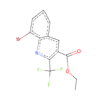 CCOC(=O)c1cc2cccc(Br)c2nc1C(F)(F)F